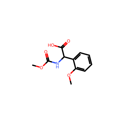 COC(=O)NC(C(=O)O)c1ccccc1OC